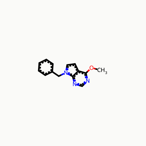 COc1ncnc2c1ccn2Cc1ccccc1